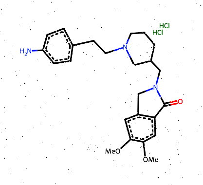 COc1cc2c(cc1OC)C(=O)N(CC1CCCN(CCc3ccc(N)cc3)C1)C2.Cl.Cl